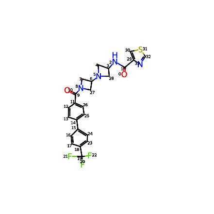 O=C(NC1CN(C2CN(C(=O)c3ccc(-c4ccc(C(F)(F)F)cc4)cc3)C2)C1)c1cscn1